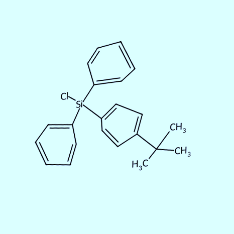 CC(C)(C)c1ccc([Si](Cl)(c2ccccc2)c2ccccc2)cc1